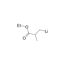 [Li][CH2]C(C)C(=O)OCC